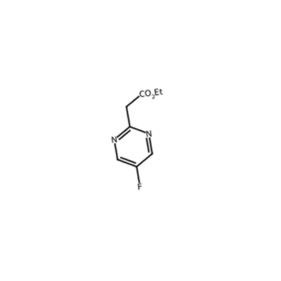 CCOC(=O)Cc1ncc(F)cn1